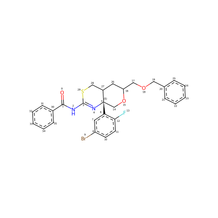 O=C(NC1=N[C@@]2(c3cc(Br)ccc3F)COC(COCc3ccccc3)CC2CS1)c1ccccc1